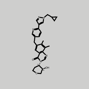 Cc1c(Cc2ccc(-c3cnn(CC4CC4)c3)nc2)cc2c(=O)n([C@H]3CCOC[C@@H]3O)cnc2c1C